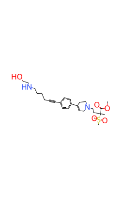 COC(=O)C(C)(CCN1CC=C(c2ccc(C#CCCCCNCCO)cc2)CC1)S(C)(=O)=O